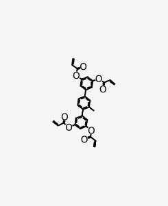 C=CC(=O)Oc1cc(OC(=O)C=C)cc(-c2ccc(-c3cc(OC(=O)C=C)cc(OC(=O)C=C)c3)c(C)c2)c1